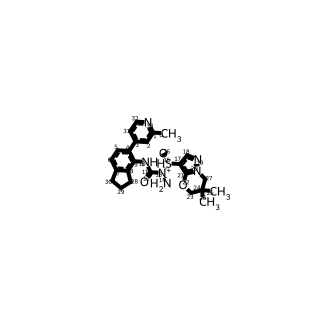 Cc1cc(-c2ccc3c(c2NC(=O)[N+](N)=[SH](=O)c2cnn4c2OCC(C)(C)C4)CCC3)ccn1